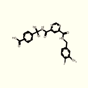 [2H]C([2H])(NC(=O)c1cc(C(=O)NCc2ccc(F)c(C)c2)ncn1)c1ccc(C(=O)O)cc1